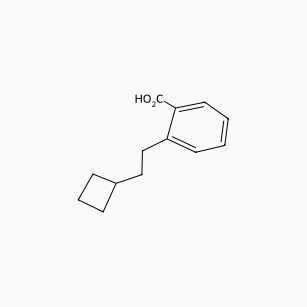 O=C(O)c1ccccc1CCC1CCC1